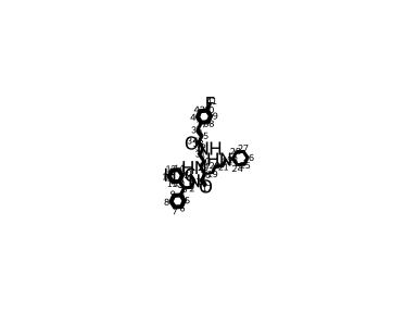 CN(CC(c1ccccc1)c1ccccc1)C(=O)[C@H](CCCNC1CCCCC1)NCCNC(=O)/C=C/c1ccc(F)cc1